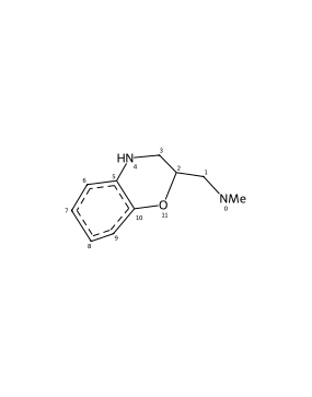 CNCC1CNc2ccccc2O1